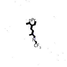 C=C\C(=C/C=C(C)/C=N/CC(F)(F)F)C(=C)CCC